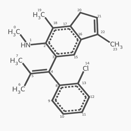 CNc1c(C(=C(C)C)c2ccccc2Cl)cc2c(c1C)CC=C2C